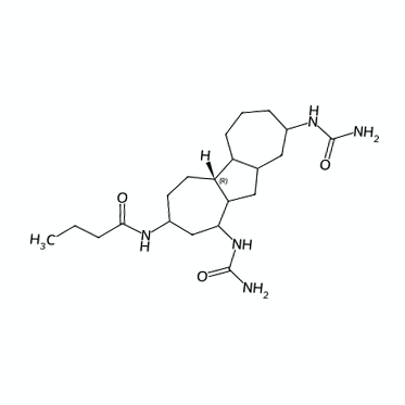 CCCC(=O)NC1CC[C@@H]2C3CCCC(NC(N)=O)CC3CC2C(NC(N)=O)C1